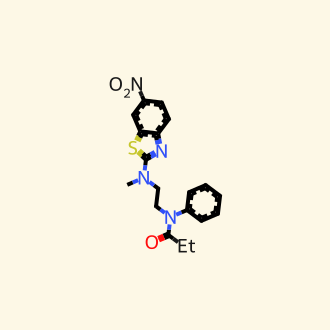 CCC(=O)N(CCN(C)c1nc2ccc([N+](=O)[O-])cc2s1)c1ccccc1